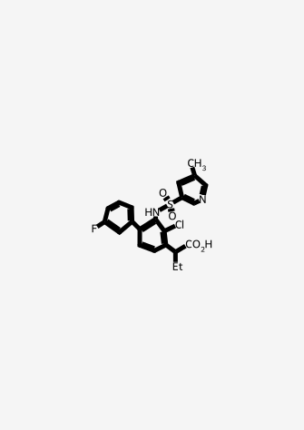 CCC(C(=O)O)c1ccc(-c2cccc(F)c2)c(NS(=O)(=O)c2cncc(C)c2)c1Cl